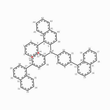 c1ccc(-c2c(N(c3ccc(-c4cccc5ccccc45)cc3)c3ccc(-c4cccc5ccccc45)cc3)ccc3ccccc23)cc1